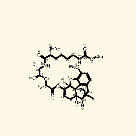 COc1ccc2c3c1O[C@H]1C(OC(=O)[C@H](C)OC(=O)[C@H](C)NC(=O)[C@H](CCCCNC(=O)OC(C)(C)C)NC(C)=O)=CC[C@@]4(O)[C@@H](C2)C(C)CC[C@]314